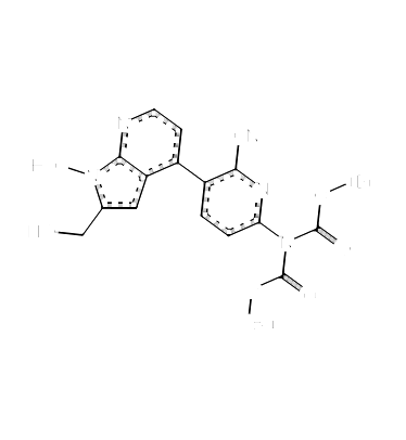 Cn1c(CO)cc2c(-c3ccc(N(C(=O)OC(C)(C)C)C(=O)OC(C)(C)C)nc3C#N)ccnc21